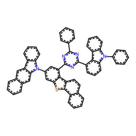 c1ccc(-c2nc(-c3cc(-n4c5ccccc5c5cc6ccccc6cc54)cc4sc5c6ccccc6ccc5c34)nc(-c3cccc4c3c3ccccc3n4-c3ccccc3)n2)cc1